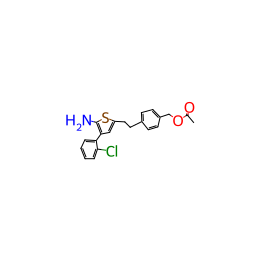 CC(=O)OCc1ccc(CCc2cc(-c3ccccc3Cl)c(N)s2)cc1